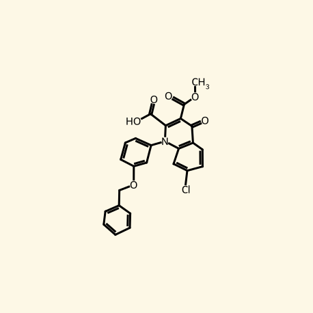 COC(=O)c1c(C(=O)O)n(-c2cccc(OCc3ccccc3)c2)c2cc(Cl)ccc2c1=O